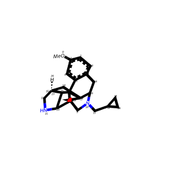 COc1ccc2c(c1)C13CCN(CC4CC4)C(C2)C12CCC1NC[C@@H](C2)C13